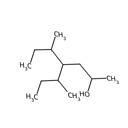 CC[C](C)C(CC(C)O)[C](C)CC